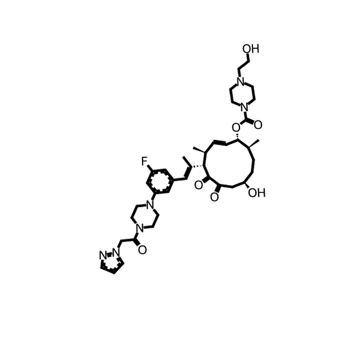 C/C(=C\c1cc(F)cc(N2CCN(C(=O)Cn3cccn3)CC2)c1)[C@H]1C(=O)C(=O)C[C@H](O)CC[C@H](C)[C@@H](OC(=O)N2CCN(CCO)CC2)/C=C/[C@@H]1C